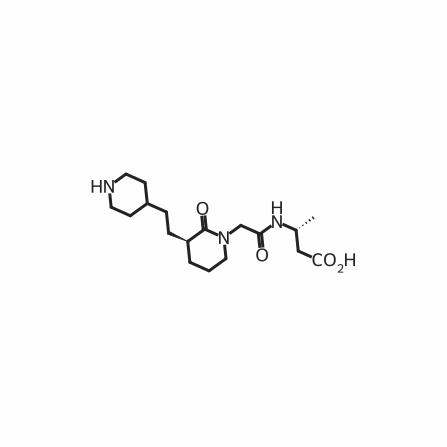 C[C@H](CC(=O)O)NC(=O)CN1CCC[C@@H](CCC2CCNCC2)C1=O